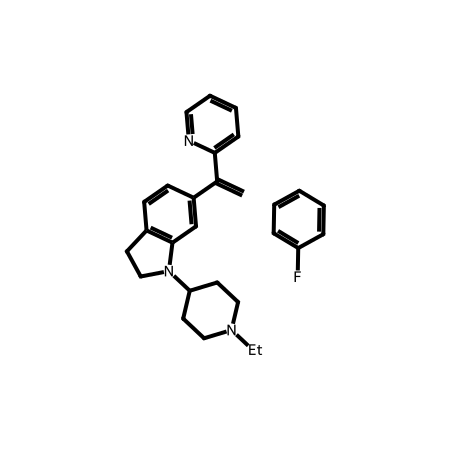 C=C(c1ccc2c(c1)N(C1CCN(CC)CC1)CC2)c1ccccn1.Fc1ccccc1